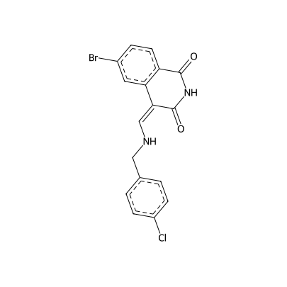 O=C1NC(=O)c2ccc(Br)cc2/C1=C/NCc1ccc(Cl)cc1